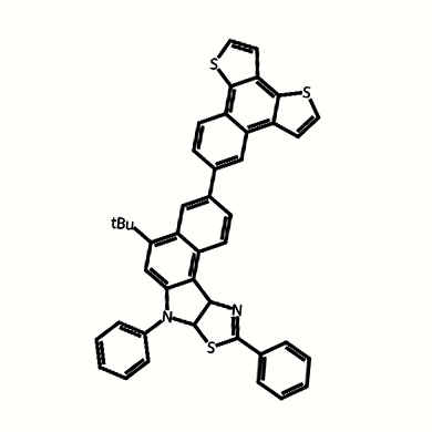 CC(C)(C)c1cc2c(c3ccc(-c4ccc5c(c4)c4ccsc4c4ccsc54)cc13)C1N=C(c3ccccc3)SC1N2c1ccccc1